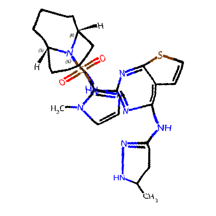 CC1CC(Nc2nc(N[C@@H]3C[C@H]4CCC[C@@H](C3)N4S(=O)(=O)c3nccn3C)nc3sccc23)=NN1